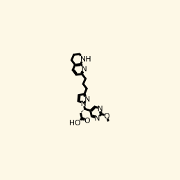 COc1ncc([C@H](CC(=O)O)n2ccc(CCCc3ccc4c(n3)NCCC4)n2)cn1